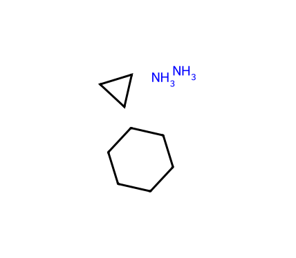 C1CC1.C1CCCCC1.N.N